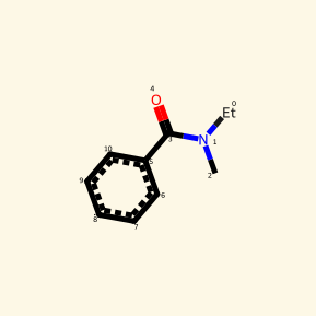 CCN(C)C(=O)c1cc[c]cc1